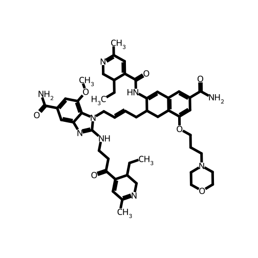 CCC1CN=C(C)C=C1C(=O)CCNc1nc2cc(C(N)=O)cc(OC)c2n1C/C=C/CC1Cc2c(cc(C(N)=O)cc2OCCCN2CCOCC2)C=C1NC(=O)C1=CC(C)=NCC1CC